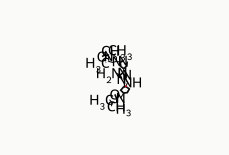 CC(=O)N1[C@H](C)CN(c2cc(-n3nc(Nc4ccc(NC(=O)CC(C)C)cc4)nc3N)ccn2)C[C@@H]1C